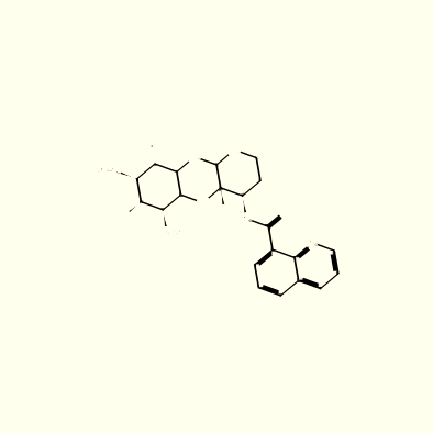 CN[C@@H]1[C@H](O)[C@H](NC)C2O[C@]3(O)C(OC2[C@H]1O)O[C@H](C)C[C@H]3NC(=O)c1cccc2cccnc12